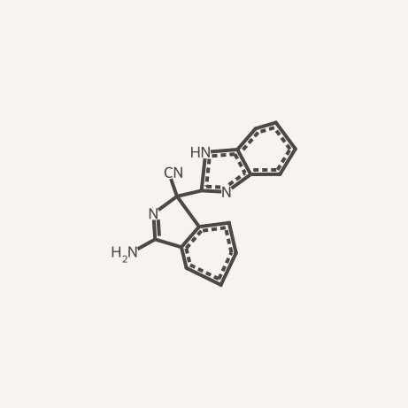 N#CC1(c2nc3ccccc3[nH]2)N=C(N)c2ccccc21